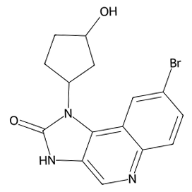 O=c1[nH]c2cnc3ccc(Br)cc3c2n1C1CCC(O)C1